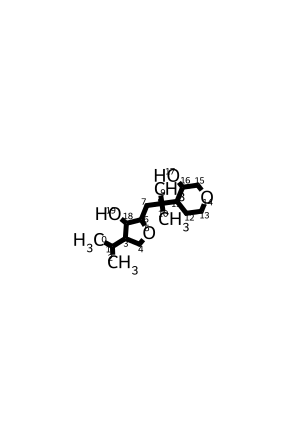 CC(C)C1COC(CC(C)(C)C2CCOCC2O)C1O